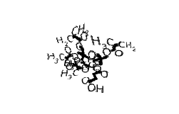 C=C(C)C(=O)OCC(COCC(COC(=O)C(=C)C)(COC(=O)C(=C)C)COC(=O)C(=C)C)(COC(=O)CCC(=O)O)COC(=O)C(=C)C